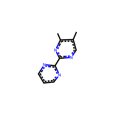 Cc1cnc(-c2ncccn2)nc1C